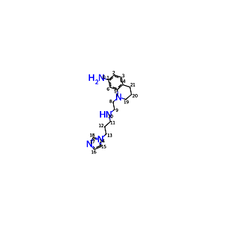 Nc1ccc2c(c1)N(CCNCCCn1ccnc1)CCC2